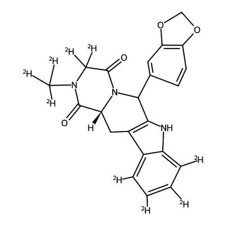 [2H]c1c([2H])c([2H])c2c3c([nH]c2c1[2H])C(c1ccc2c(c1)OCO2)N1C(=O)C([2H])([2H])N(C([2H])([2H])[2H])C(=O)[C@H]1C3